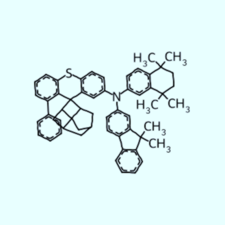 CC1(C)CCC(C)(C)c2cc(N(c3ccc4c(c3)C(C)(C)c3ccccc3-4)c3ccc4c(c3)C3(c5c(cccc5-c5ccccc5)S4)C4CC5CC6CC3C64C5)ccc21